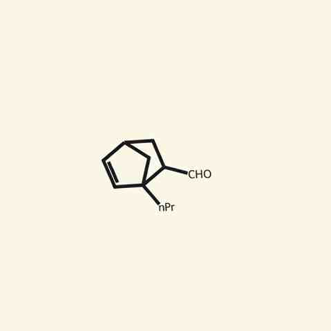 CCCC12C=CC(CC1C=O)C2